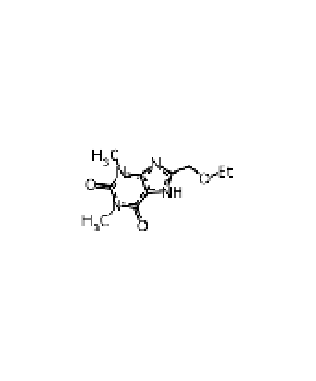 CCOCc1nc2c([nH]1)c(=O)n(C)c(=O)n2C